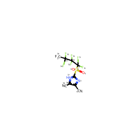 N#Cc1nc(S(=O)(=O)C(F)(F)C(F)(F)C(F)(F)C(F)(F)F)[nH]c1C#N